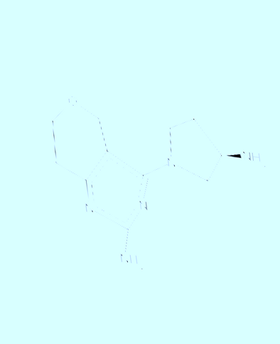 Nc1nc2c(c(N3CC[C@@H](N)C3)n1)COCC2